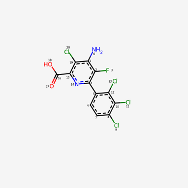 Nc1c(F)c(-c2ccc(Cl)c(Cl)c2Cl)nc(C(=O)O)c1Cl